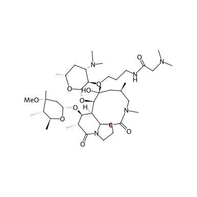 CO[C@]1(C)C[C@H](O[C@H]2[C@H]3[C@@H](O[C@@H]4O[C@H](C)C[C@H](N(C)C)[C@H]4OCCCNC(=O)CN(C)C)[C@](C)(O)C[C@@H](C)CN(C)C(=O)C[C@@]34CCCN4C(=O)[C@@H]2C)O[C@@H](C)[C@@H]1C